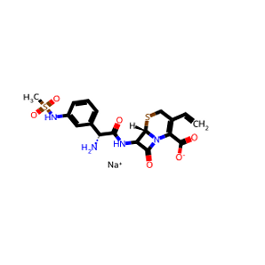 C=CC1=C(C(=O)[O-])N2C(=O)C(NC(=O)[C@H](N)c3cccc(NS(C)(=O)=O)c3)[C@@H]2SC1.[Na+]